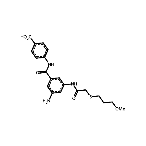 COCCCSCC(=O)Nc1cc(N)cc(C(=O)Nc2ccc(C(=O)O)cc2)c1